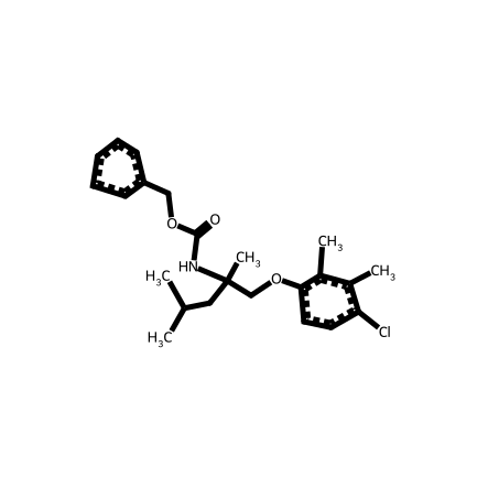 Cc1c(Cl)ccc(OCC(C)(CC(C)C)NC(=O)OCc2ccccc2)c1C